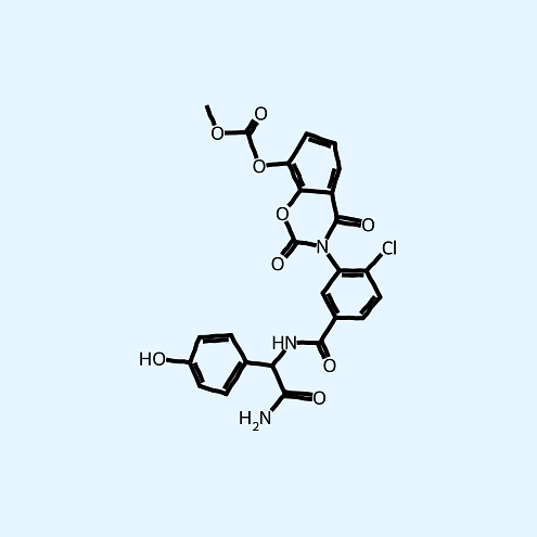 COC(=O)Oc1cccc2c(=O)n(-c3cc(C(=O)NC(C(N)=O)c4ccc(O)cc4)ccc3Cl)c(=O)oc12